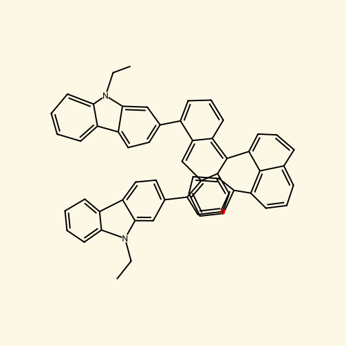 CCn1c2ccccc2c2ccc(-c3cccc4c(-c5cccc6cccc(-c7ccccc7)c56)c5cccc(-c6ccc7c8ccccc8n(CC)c7c6)c5cc34)cc21